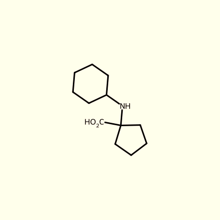 O=C(O)C1(NC2CCCCC2)CCCC1